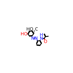 C=C(C)C(=O)Nc1ccccc1/N=N/c1ccc(C(=O)O)c(O)c1